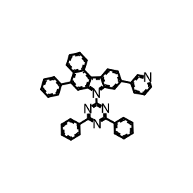 c1ccc(-c2nc(-c3ccccc3)nc(-n3c4cc(-c5cccnc5)ccc4c4c5ccccc5c(-c5ccccc5)cc43)n2)cc1